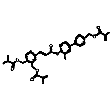 C=C(C)C(=O)OCc1ccc(-c2ccc(OC(=O)/C=C/c3ccc(COC(=O)C(=C)C)c(COC(=O)C(=C)C)c3)c(C)c2)cc1